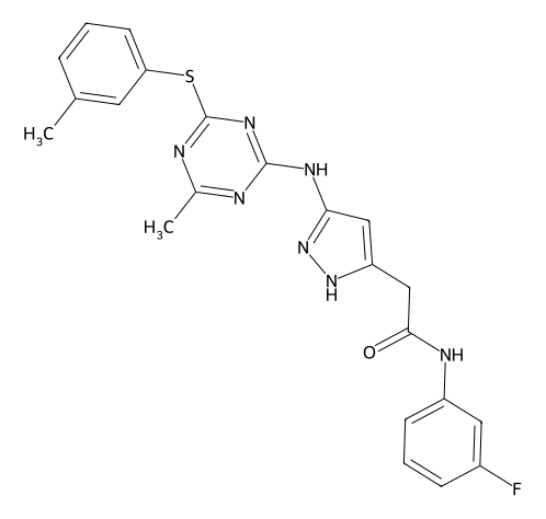 Cc1cccc(Sc2nc(C)nc(Nc3cc(CC(=O)Nc4cccc(F)c4)[nH]n3)n2)c1